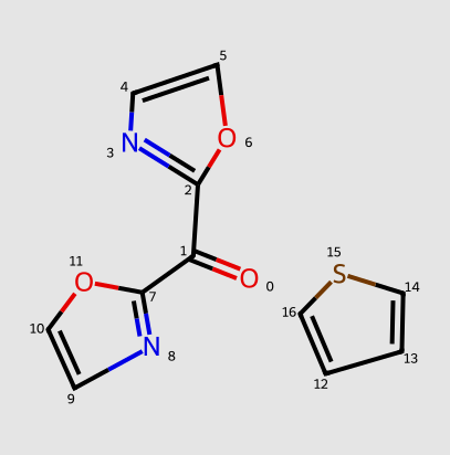 O=C(c1ncco1)c1ncco1.c1ccsc1